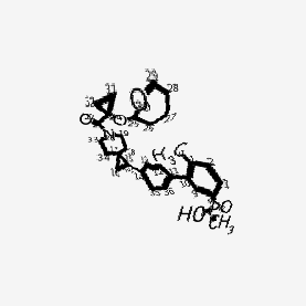 Cc1ccc(P(C)(=O)O)cc1-c1ccc([C@H]2CC23CCN(C(=O)C2(OC4CCCCO4)CC2)CC3)cc1